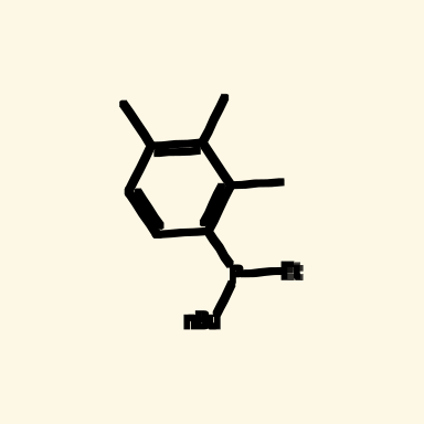 CCCCP(CC)c1ccc(C)c(C)c1C